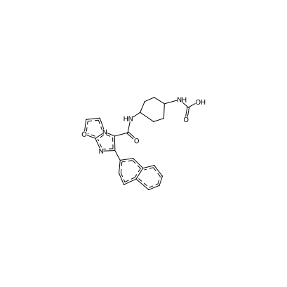 O=C(O)NC1CCC(NC(=O)c2c(-c3ccc4ccccc4c3)nc3occn23)CC1